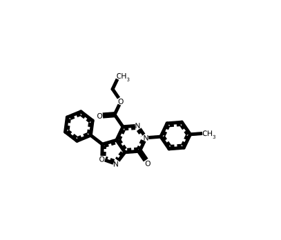 CCOC(=O)c1nn(-c2ccc(C)cc2)c(=O)c2noc(-c3ccccc3)c12